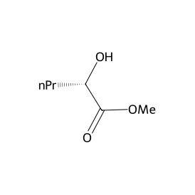 CCC[C@H](O)C(=O)OC